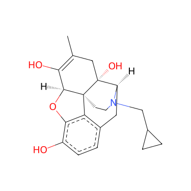 CC1=C(O)[C@@H]2Oc3c(O)ccc4c3[C@@]23CCN(CC2CC2)[C@H](C4)[C@]3(O)C1